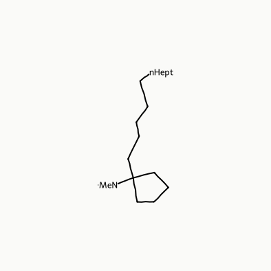 CCCCCCCCCCCCC1([N]C)CCCC1